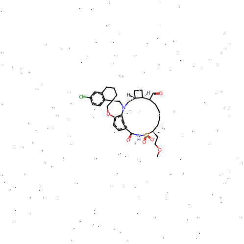 COCC[C@@H]1[C@@H](C)CCCC(C=O)[C@@H]2CC[C@H]2CN2C[C@@]3(CCCc4cc(Cl)ccc43)COc3ccc(cc32)C(=O)NS1(=O)=O